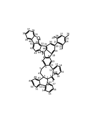 C=C1C2C(CCc3cc4c(cc3-c3cccc[n+]31)c1cc(-c3c(C)cc(C)cc3C)cc3c5c6oc7ccccc7c6ccc5n4c13)c1ccccc1-c1cccc[n+]12